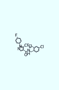 O=C(NCc1ccc(Cl)cc1Cl)c1cnn(-c2ccc(F)cc2)c1C(F)(F)F